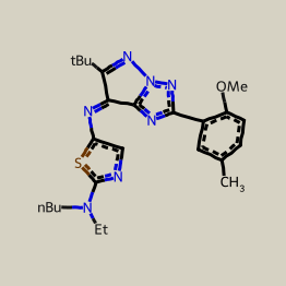 CCCCN(CC)c1ncc(/N=C2/C(C(C)(C)C)=Nn3nc(-c4cc(C)ccc4OC)nc32)s1